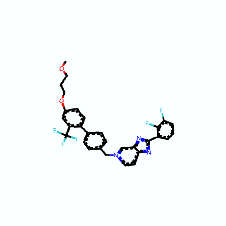 COCCCOc1ccc(-c2ccc(Cn3ccc4nc(-c5cccc(F)c5F)nc-4c3)cc2)c(C(F)(F)F)c1